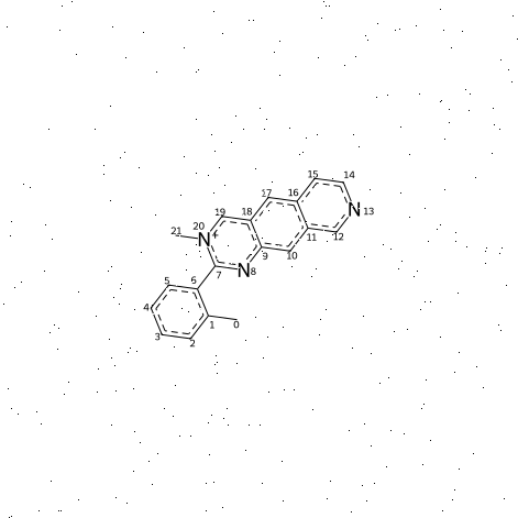 Cc1ccccc1-c1nc2cc3cnccc3cc2c[n+]1C